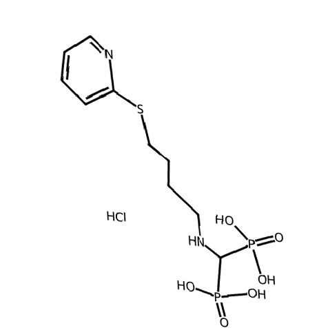 Cl.O=P(O)(O)C(NCCCCSc1ccccn1)P(=O)(O)O